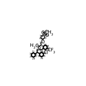 C[C@H](CCO[C@H]1CCN(S(C)(=O)=O)C1)N(Cc1cccc(C(F)(F)F)c1Cl)CC(c1ccccc1)c1ccccc1